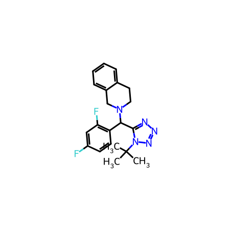 CC(C)(C)n1nnnc1C(c1ccc(F)cc1F)N1CCc2ccccc2C1